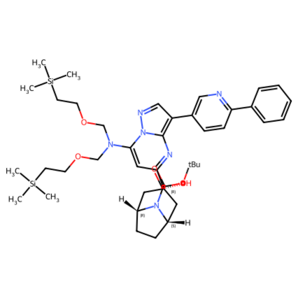 CC(C)(C)OC(=O)N1[C@@H]2CC[C@H]1C[C@](O)(c1cc(N(COCC[Si](C)(C)C)COCC[Si](C)(C)C)n3ncc(-c4ccc(-c5ccccc5)nc4)c3n1)C2